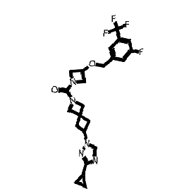 O=C(N1CC(OCc2cc(F)cc(C(F)(F)F)c2)C1)N1CC2(CC(n3cnc(C4CC4)n3)C2)C1